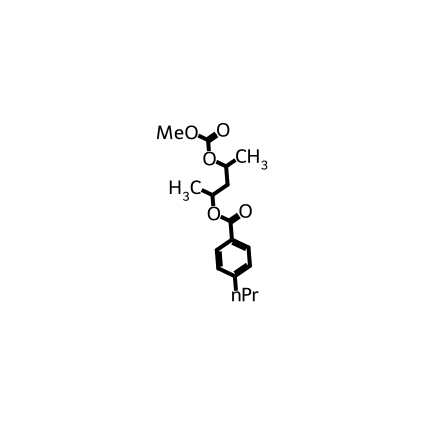 CCCc1ccc(C(=O)OC(C)CC(C)OC(=O)OC)cc1